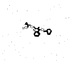 Cc1c(COCC2(CO)CC2)nc2ccccc2c1OCc1ccccc1